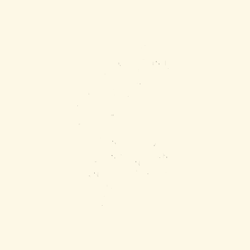 NC(=O)c1ccc(-c2cccc(-c3nn4c(N5CCNCC5)cc(=O)nc4s3)c2)cc1